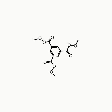 COOC(=O)c1cc(C(=O)OOC)cc(C(=O)OOC)c1